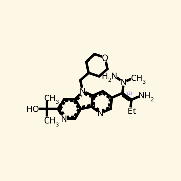 CC/C(N)=C(\c1cnc2c3cnc(C(C)(C)O)cc3n(CC3CCOCC3)c2c1)N(C)N